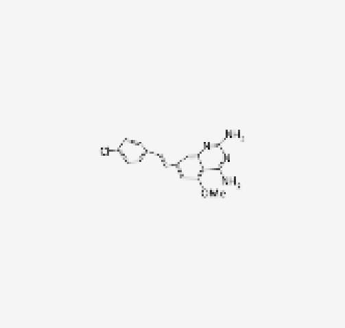 COc1cc(C=Cc2ccc(Cl)cc2)cc2nc(N)nc(N)c12